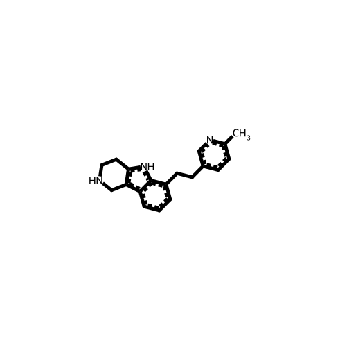 Cc1ccc(CCc2cccc3c4c([nH]c23)CCNC4)cn1